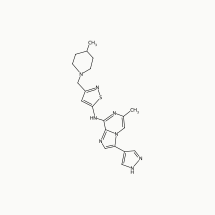 Cc1cn2c(-c3cn[nH]c3)cnc2c(Nc2cc(CN3CCC(C)CC3)ns2)n1